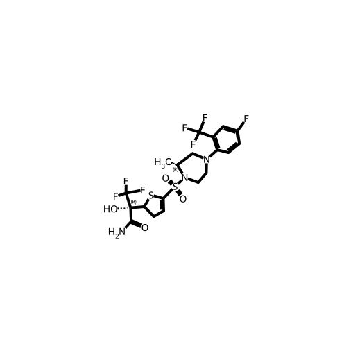 C[C@@H]1CN(c2ccc(F)cc2C(F)(F)F)CCN1S(=O)(=O)C1=CCC([C@@](O)(C(N)=O)C(F)(F)F)S1